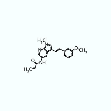 C=CC(=O)Nc1cnc2c(c1)c(C=Cc1cccc(OC)c1)cn2C